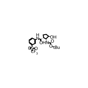 CC(C)(C)OC(=O)N[C@H]1[C@H](O)CC[C@H]1C(=O)Nc1cccc(S(=O)(=O)C(F)(F)F)c1